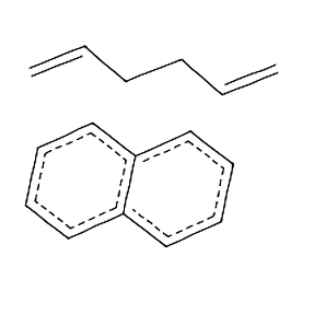 C=CCCC=C.c1ccc2ccccc2c1